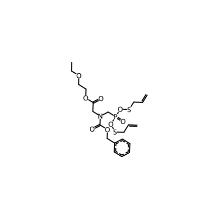 C=CCSOP(=O)(CN(CC(=O)OCCOCC)C(=O)OCc1ccccc1)OSCC=C